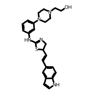 OCCN1CCN(c2cccc(NC3=NCC(C=Cc4ccc5[nH]ccc5c4)S3)c2)CC1